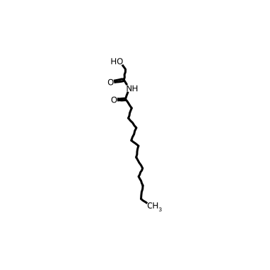 CCCCCCCCCCCC(=O)NC(=O)CO